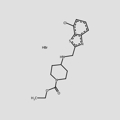 Br.CCOC(=O)N1CCC(NCc2nc3cccc(Cl)c3s2)CC1